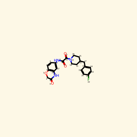 O=C1COc2ccc(NC(=O)C(=O)N3CCC(Cc4ccc(F)cc4)CC3)cc2N1